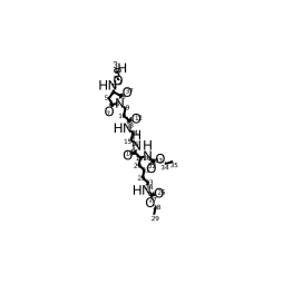 [3H]SONC1CC(=O)N(CCC(=O)NCCNC(=O)C(CCCCNC(=O)OCC)NC(=O)OCC)C1=O